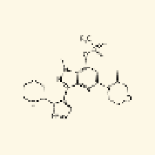 CC1COCCN1c1cc(OS(=O)(=O)C(F)(F)F)c2c(n1)c(-c1ccnn1C1CCCCO1)nn2C